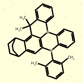 Cc1cccc(C)c1N1c2ccccc2B2c3ccccc3C(C)(C)c3c2c1cc1c3C2CCC1CC2